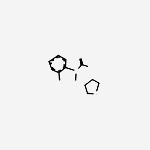 O=C(O)N(C[C@@H]1CCNC1)c1ccccc1Br